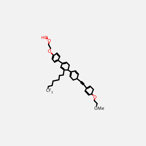 COCCOC1C=CC(C#CC2C=CC(C3CC=C(c4ccc(OCCOO)cc4)C=C3CCCCCCC(F)(F)F)=CC2)=CC1